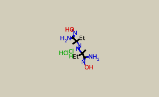 CCC(C)(N=NC(C)(CC)C(N)=NO)C(N)=NO.Cl.Cl